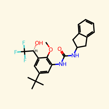 COc1c(NC(=O)NC2Cc3ccccc3C2)cc(C(C)(C)C)cc1[C@@H](O)C(F)(F)F